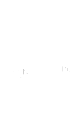 Cc1ccc(CC(C)(C)C)cc1[N+](=O)[O-]